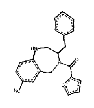 N#Cc1ccc2c(c1)CN(C(=O)c1ccco1)C(Cc1ccccc1)CN2